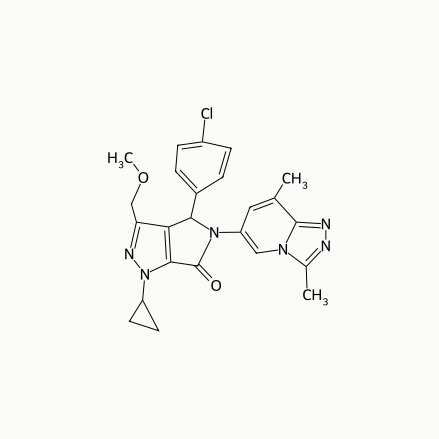 COCc1nn(C2CC2)c2c1C(c1ccc(Cl)cc1)N(c1cc(C)c3nnc(C)n3c1)C2=O